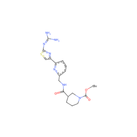 CC(C)(C)OC(=O)N1CCCC(C(=O)NCc2cccc(-c3csc(N=C(N)N)n3)n2)C1